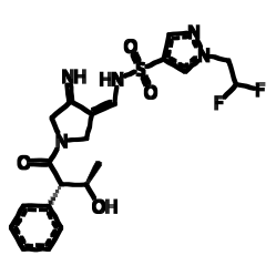 C[C@@H](O)[C@@H](C(=O)N1CC(=N)/C(=C\NS(=O)(=O)c2cnn(CC(F)F)c2)C1)c1ccccc1